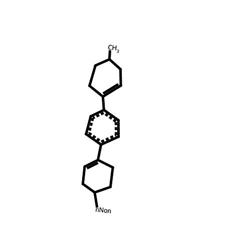 CCCCCCCCCC1CC=C(c2ccc(C3=CCC(C)CC3)cc2)CC1